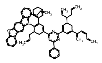 C=C/C=C\C(=C)C1=CC(c2nc(C3=CC(C4=CCCC=C4)=C(n4c5cc6c(cc5c5cccc(CC=C)c54)oc4ccccc46)C(CC=C)C3)nc(-c3ccccc3)n2)=C[C@@H](C(C=C)CC=C)C1